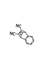 N#CC1C2OC(c3ccccc32)C1C#N